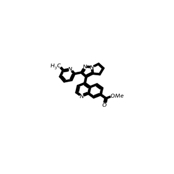 COC(=O)c1ccc2c(-c3c(-c4cccc(C)n4)nn4c3CCC4)ccnc2c1